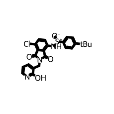 CC(C)(C)c1ccc([S+]([O-])Nc2ccc(Cl)c3c2C(=O)N(Cc2cccnc2O)C3=O)cc1